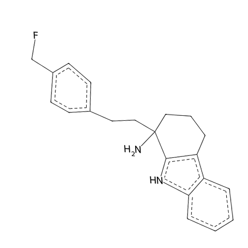 NC1(CCc2ccc(CF)cc2)CCCc2c1[nH]c1ccccc21